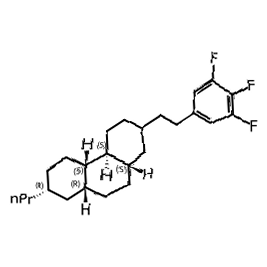 CCC[C@@H]1CC[C@H]2[C@H](CC[C@H]3CC(CCc4cc(F)c(F)c(F)c4)CC[C@@H]32)C1